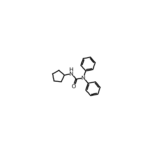 O=C(NC1CCCC1)N(c1ccccc1)c1ccccc1